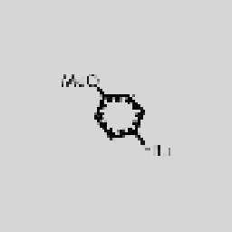 COc1[c]cc(C(C)(C)C)cc1